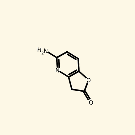 Nc1ccc2c(n1)CC(=O)O2